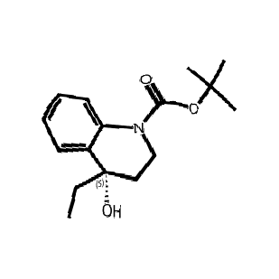 CC[C@]1(O)CCN(C(=O)OC(C)(C)C)c2ccccc21